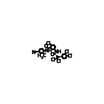 Cc1cc(C#N)ccc1NC(=O)c1cc(NC(=O)[C@@H]2[C@@H](c3ccc(Cl)c(Cl)c3)C2(Cl)Cl)ccc1Cl